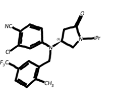 Cc1ccc(C(F)(F)F)cc1CN(c1ccc(C#N)c(Cl)c1)[C@H]1CC(=O)N(C(C)C)C1